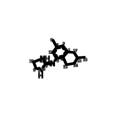 Cc1cc2c(c(N=C3NCCN3)c1)CCC(C)C2